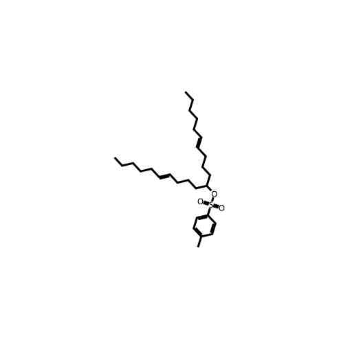 CCCCCC=CCCCC(CCCC=CCCCCC)OS(=O)(=O)c1ccc(C)cc1